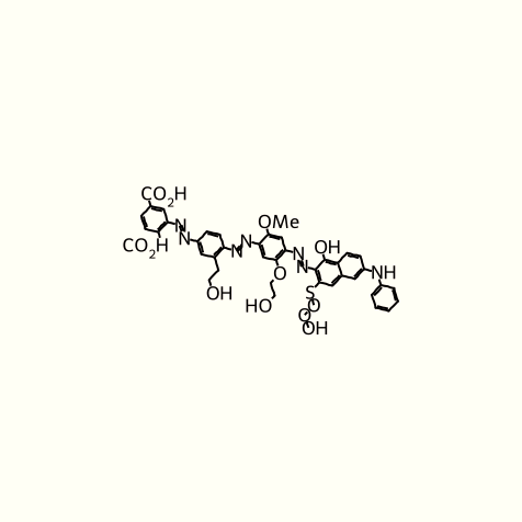 COc1cc(N=Nc2c(SOOO)cc3cc(Nc4ccccc4)ccc3c2O)c(OCCO)cc1N=Nc1ccc(N=Nc2cc(C(=O)O)ccc2C(=O)O)cc1CCO